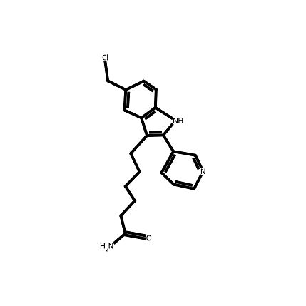 NC(=O)CCCCCc1c(-c2cccnc2)[nH]c2ccc(CCl)cc12